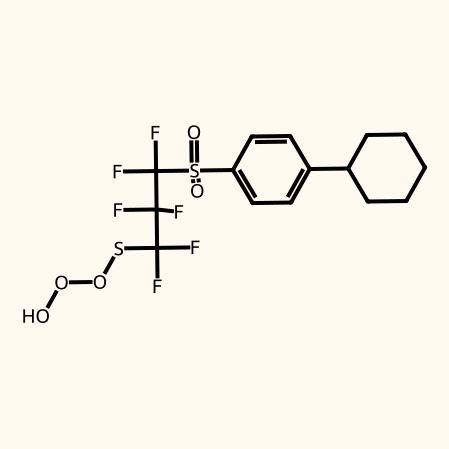 O=S(=O)(c1ccc(C2CCCCC2)cc1)C(F)(F)C(F)(F)C(F)(F)SOOO